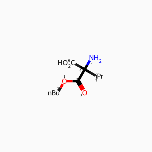 CCCCOC(=O)C(N)(C(=O)O)C(C)C